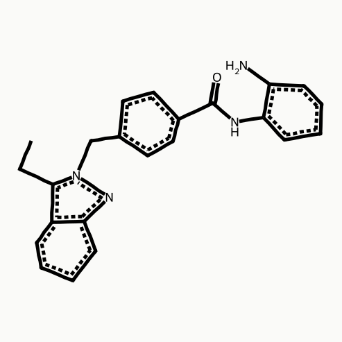 CCc1c2ccccc2nn1Cc1ccc(C(=O)Nc2ccccc2N)cc1